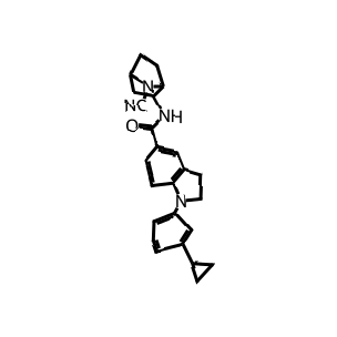 N#CN1C2CCC1C(NC(=O)c1ccc3c(c1)CCN3c1cccc(C3CC3)c1)C2